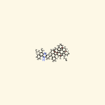 C=CCC1C2=C(CCC=C2)C2(C(/C=C\C(=C)C3=C4C=CC=CC4C(C4C=CC5=C(C4)N=C(/C(C=C)=C/CCC)C(c4ccccc4)N5)c4ccccc43)=C(C)C3(C4=C(C=CCC4)c4ccccc43)c3ccccc32)/C1=C/C